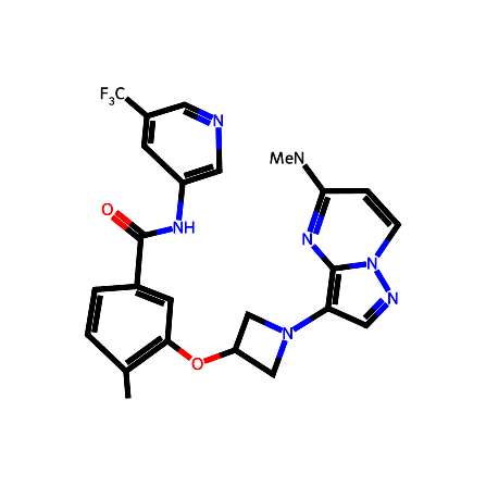 CNc1ccn2ncc(N3CC(Oc4cc(C(=O)Nc5cncc(C(F)(F)F)c5)ccc4C)C3)c2n1